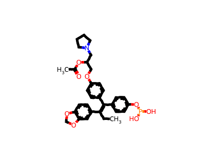 CC/C(=C(/c1ccc(OCC(CN2CCCC2)OC(C)=O)cc1)c1ccc(OP(O)O)cc1)c1ccc2c(c1)OCO2